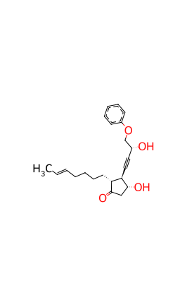 C/C=C/CCCC[C@H]1C(=O)C[C@@H](O)[C@@H]1C#C[C@@H](O)COc1ccccc1